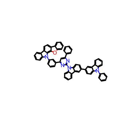 c1ccc(-c2cc(-c3cccc(-n4c5ccccc5c5ccc6c7ccccc7oc6c54)c3)nc(-n3c4ccccc4c4cc(-c5ccc6c(c5)c5ccccc5n6-c5ccccc5)ccc43)n2)cc1